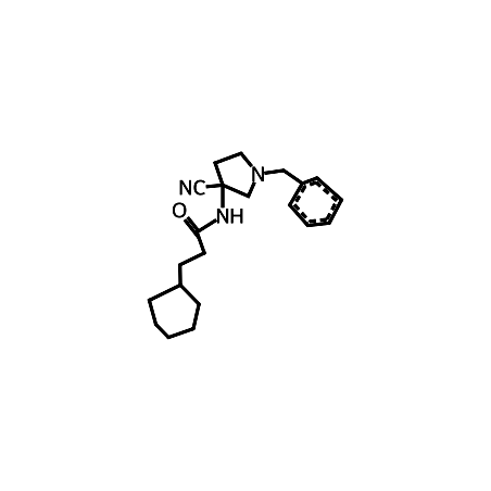 N#CC1(NC(=O)CCC2CCCCC2)CCN(Cc2ccccc2)C1